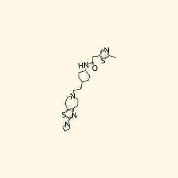 Cc1ncc(CC(=O)N[C@H]2CC[C@H](CCN3CCc4nc(N5CCC5)sc4CC3)CC2)s1